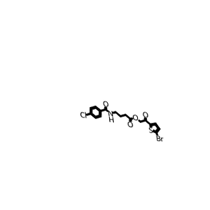 O=C(CCCNC(=O)c1ccc(Cl)cc1)OCC(=O)c1ccc(Br)s1